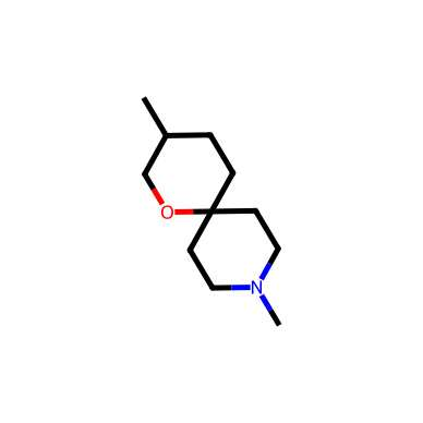 CC1CCC2(CCN(C)CC2)OC1